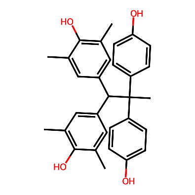 Cc1cc(C(c2cc(C)c(O)c(C)c2)C(C)(c2ccc(O)cc2)c2ccc(O)cc2)cc(C)c1O